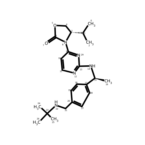 CC(C)[C@H]1COC(=O)N1c1ccnc(N[C@@H](C)c2ccc(CNC(C)(C)C)cc2)n1